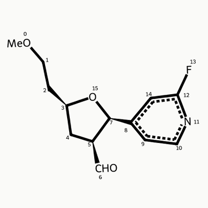 COCC[C@@H]1C[C@H](C=O)[C@H](c2ccnc(F)c2)O1